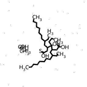 CCCCCCCCC(CC)CC(CC(O)=S)C(O)(CCC)C(CC(O)=S)CC(CC)CCCCCCCC.CO.CO